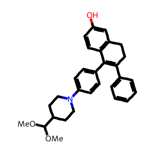 COC(OC)C1CCN(c2ccc(C3=C(c4ccccc4)CCc4cc(O)ccc43)cc2)CC1